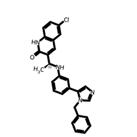 C[C@H](Nc1cccc(-c2cncn2Cc2ccccc2)c1)c1cc2cc(Cl)ccc2[nH]c1=O